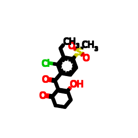 CCc1c(S(C)(=O)=O)ccc(C(=O)C2=C(O)CCCC2=O)c1Cl